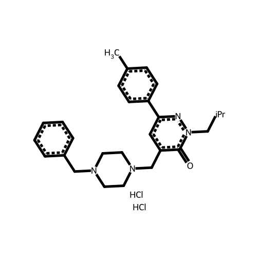 Cc1ccc(-c2cc(CN3CCN(Cc4ccccc4)CC3)c(=O)n(CC(C)C)n2)cc1.Cl.Cl